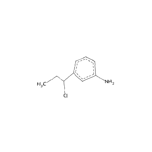 CCC(Cl)c1cccc(N)c1